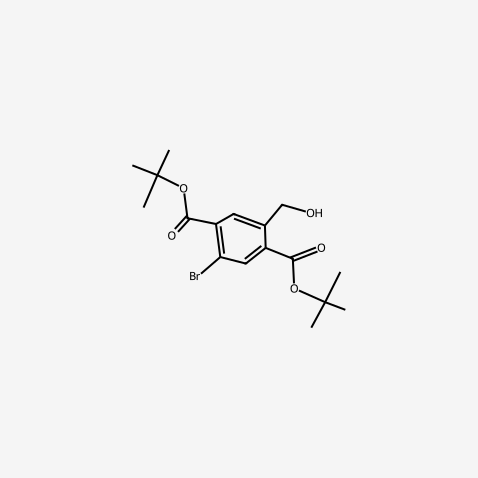 CC(C)(C)OC(=O)c1cc(CO)c(C(=O)OC(C)(C)C)cc1Br